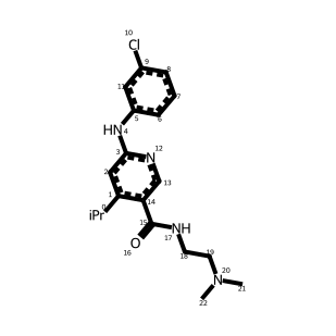 CC(C)c1cc(Nc2cccc(Cl)c2)ncc1C(=O)NCCN(C)C